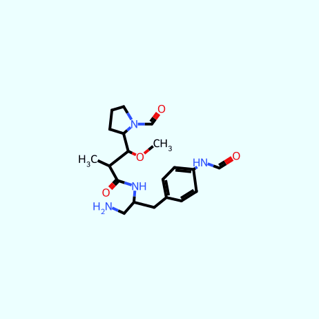 COC(C(C)C(=O)NC(CN)Cc1ccc(NC=O)cc1)C1CCCN1C=O